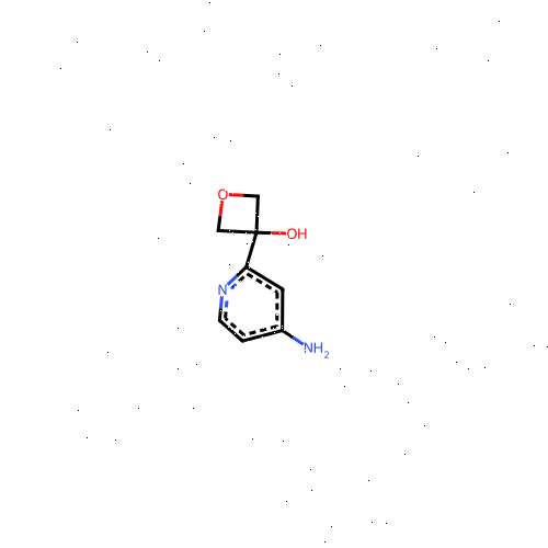 Nc1ccnc(C2(O)COC2)c1